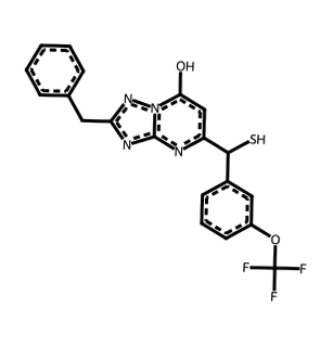 Oc1cc(C(S)c2cccc(OC(F)(F)F)c2)nc2nc(Cc3ccccc3)nn12